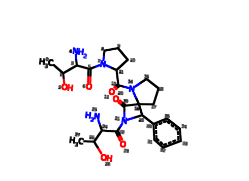 CC(O)C(N)C(=O)N1CCCC1C(=O)N1CCCC12C(=O)N(C(=O)C(N)C(C)O)C2c1ccccc1